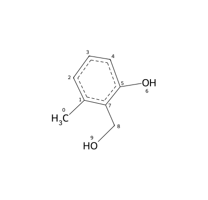 Cc1cccc(O)c1CO